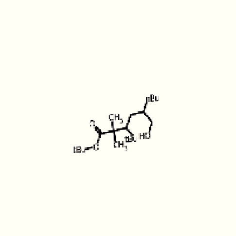 CCCCC(CO)CC(C(C)(C)C)C(C)(C)C(=O)OC(C)(C)C